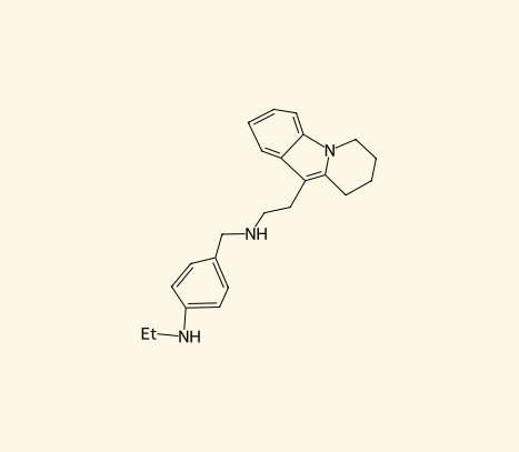 CCNc1ccc(CNCCc2c3n(c4ccccc24)CCCC3)cc1